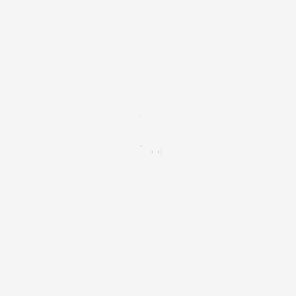 OC1(c2sccc2C2CCCC2)c2ccccc2-c2ccccc21